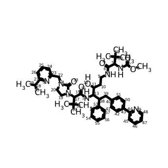 COC(=O)NC(C(=O)NCCC(O)C(NC(=O)C(N1CCN(Cc2cccc(C(C)C)n2)C1=O)C(C)(C)C)C(Cc1ccc(-c2ccccn2)cc1)c1ccccc1)C(C)(C)C